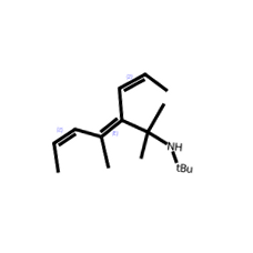 C\C=C/C(C)=C(\C=C/C)C(C)(C)NC(C)(C)C